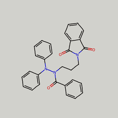 O=C1c2ccccc2C(=O)N1CCCN(C(=O)c1ccccc1)N(c1ccccc1)c1ccccc1